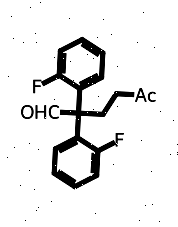 CC(=O)CCC(C=O)(c1ccccc1F)c1ccccc1F